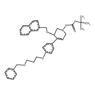 CC(C)(C)OC(=O)ON1CC=C(c2ccc(OCCCOCc3ccccc3)cc2)C(OCc2ccc3ccccc3c2)C1